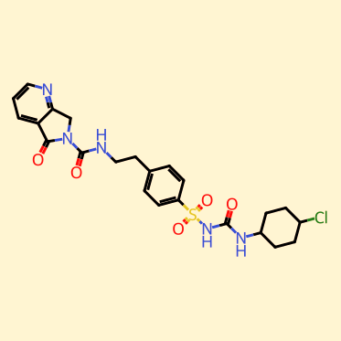 O=C(NC1CCC(Cl)CC1)NS(=O)(=O)c1ccc(CCNC(=O)N2Cc3ncccc3C2=O)cc1